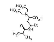 C=C(C)C(=O)NC(CC)CC(C(=O)O)N(CC(=O)O)CC(=O)O